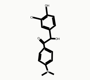 CN(C)c1ccc(C(=O)C(O)c2ccc(O)c(Cl)c2)cc1